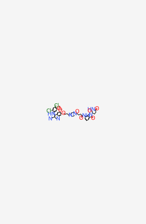 COc1cc(Nc2c(C#N)cnc3cc(OCCCN4CCN(C(=O)CCC(=O)Nc5cccc6c5CN(C5CCC(=O)NC5=O)C6=O)CC4)c(OC)cc23)c(Cl)cc1Cl